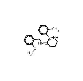 COc1ccccc1CN[C@@H]1CCCN[C@@H]1c1ccccc1C